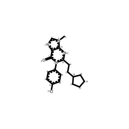 Cn1cnc2c(=O)n(-c3ccc(Cl)cc3)c(CCC3CCCC3)nc21